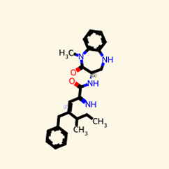 CCC(C)/C(=C\C(=N)C(=O)N[C@H]1CNc2ccccc2N(C)C1=O)Cc1ccccc1